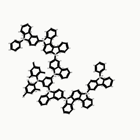 Cc1cc(C)c(B(c2cc(-n3c4ccccc4c4cc(-n5c6ccccc6c6c7c8ccccc8n(-c8ccc9c(c8)c8ccccc8n9-c8ccccc8)c7ccc65)ccc43)cc(-n3c4ccccc4c4cc(-n5c6ccccc6c6c7c8ccccc8n(-c8ccc9c(c8)c8ccccc8n9-c8ccccc8)c7ccc65)ccc43)c2)c2c(C)cc(C)cc2C)c(C)c1